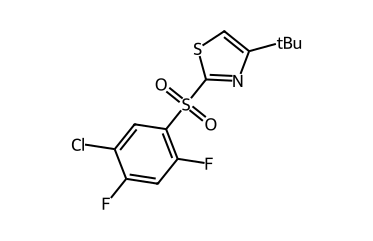 CC(C)(C)c1csc(S(=O)(=O)c2cc(Cl)c(F)cc2F)n1